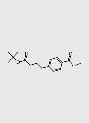 COC(=O)c1ccc(CCCC(=O)OC(C)(C)C)cc1